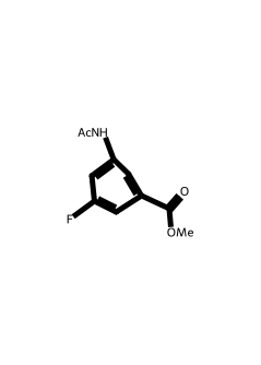 COC(=O)c1cc(F)cc(NC(C)=O)c1